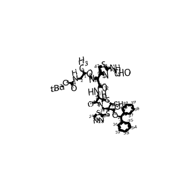 CC(CNC(=O)OC(C)(C)C)ON=C(C(=O)NC1C(=O)N2CC(Sc3nncs3)(C(=O)OC(c3ccccc3)c3ccccc3)C(C)S[C@H]12)c1csc(NC=O)n1